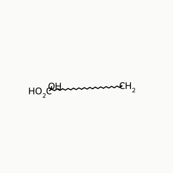 C=CCCCCCCCCCCCCCCCCCCCCCC=CCC(O)C(=O)O